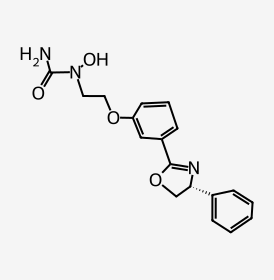 NC(=O)N(O)CCOc1cccc(C2=N[C@H](c3ccccc3)CO2)c1